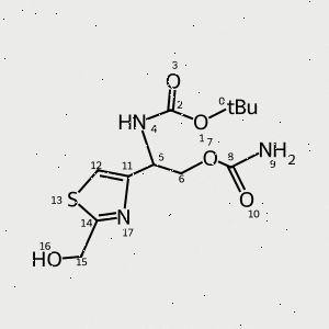 CC(C)(C)OC(=O)NC(COC(N)=O)c1csc(CO)n1